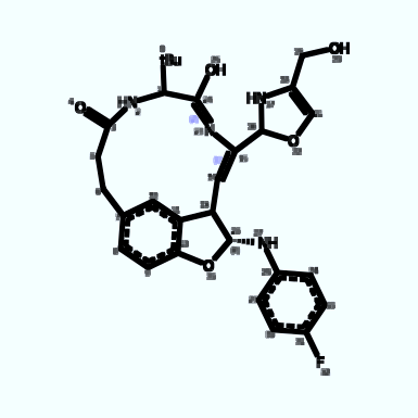 CC(C)(C)C1NC(=O)CCc2ccc3c(c2)C(/C=C(C2NC(CO)=CO2)/N=C/1O)[C@H](Nc1ccc(F)cc1)O3